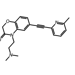 Cc1cccc(C#Cc2ccc3c(c2)N(CCN(C)C)C(=O)CO3)n1